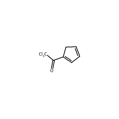 O=C(C1=CC=CC1)C(Cl)(Cl)Cl